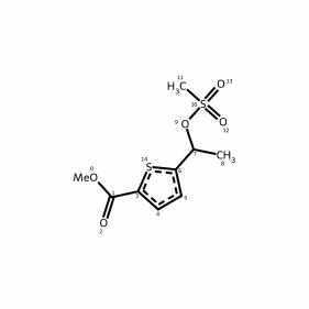 COC(=O)c1ccc(C(C)OS(C)(=O)=O)s1